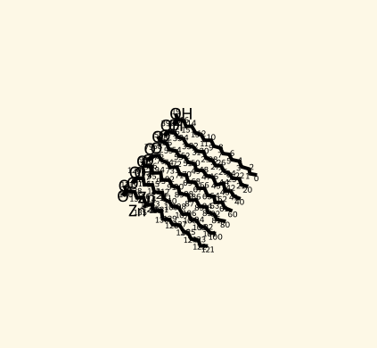 CCCCCCCCCCCCCCCCCC(=O)O.CCCCCCCCCCCCCCCCCC(=O)O.CCCCCCCCCCCCCCCCCC(=O)[O-].CCCCCCCCCCCCCCCCCC(=O)[O-].CCCCCCCCCCCCCCCCCC(=O)[O-].CCCCCCCCCCCCC[CH]([Zn+2])CCCC(=O)O.CCCCCCCCCCCCC[CH]([Zn+2])CCCC(=O)[O-]